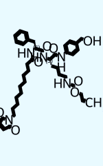 C=CCOC(=O)NCCCC[C@H](NC(=O)[C@H](Cc1ccccc1)NC(=O)CCCCCCCCCCN1C(=O)C=CC1=O)C(=O)Nc1ccc(CO)cc1